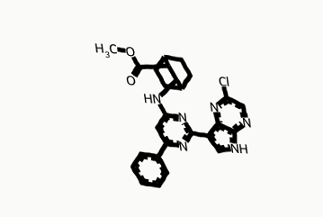 COC(=O)C1C2CCC(CC2)C1Nc1cc(-c2ccccc2)nc(-c2c[nH]c3ncc(Cl)nc23)n1